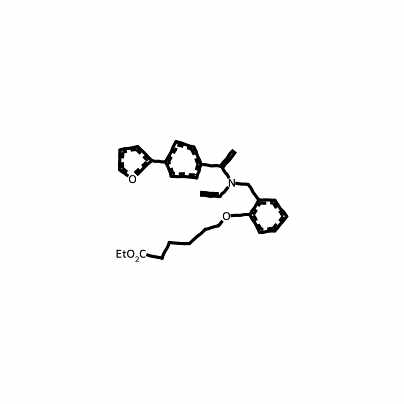 C=CN(Cc1ccccc1OCCCCCC(=O)OCC)C(=C)c1ccc(-c2ccco2)cc1